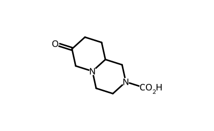 O=C1CCC2CN(C(=O)O)CCN2C1